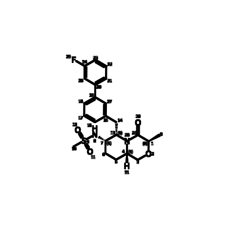 C[C@H]1OC[C@@H]2CC[C@H](NS(C)(=O)=O)[C@H](Cc3cccc(-c4cccc(F)c4)c3)N2C1=O